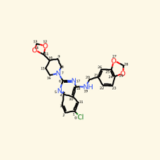 Clc1ccc2nc(N3CCC(C4OCO4)CC3)nc(NCc3ccc4c(c3)OCO4)c2c1